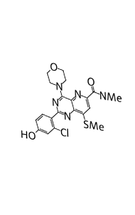 CNC(=O)c1cc(SC)c2nc(-c3ccc(O)cc3Cl)nc(N3CCOCC3)c2n1